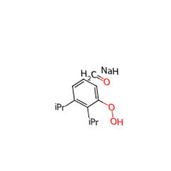 C=O.CC(C)c1cccc(OO)c1C(C)C.[NaH]